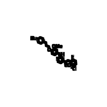 CCC(C)N1CCN(CCCOc2ccc(Nc3nccc(N(Cc4cc(Cl)ccc4F)C(=O)O)n3)cc2OC)CC1